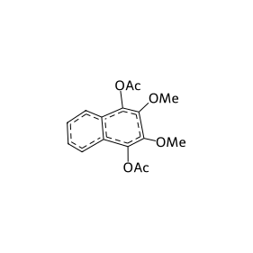 COc1c(OC)c(OC(C)=O)c2ccccc2c1OC(C)=O